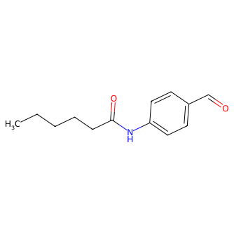 CCCCCC(=O)Nc1ccc(C=O)cc1